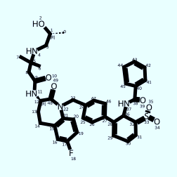 C[C@@H](O)CNC(C)(C)CC(=O)N[C@@H]1CCc2cc(F)ccc2N(Cc2ccc(C3=CC=CC(=S(=O)=O)C3NC(=O)c3ccccc3)cc2)C1=O